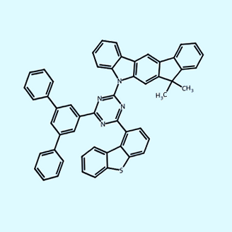 CC1(C)c2ccccc2-c2cc3c4ccccc4n(-c4nc(-c5cc(-c6ccccc6)cc(-c6ccccc6)c5)nc(-c5cccc6sc7ccccc7c56)n4)c3cc21